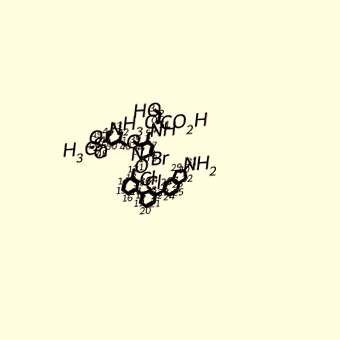 CC(CO)(NCc1cc(Br)c(OCc2cccc(-c3cccc(-c4ccc5c(c4)C[C@@H](N)C5)c3Cl)c2Cl)nc1OCc1cncc(S(C)(=O)=O)c1)C(=O)O